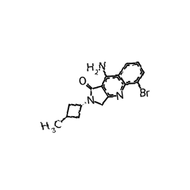 C[C@H]1C[C@H](N2Cc3nc4c(Br)cccc4c(N)c3C2=O)C1